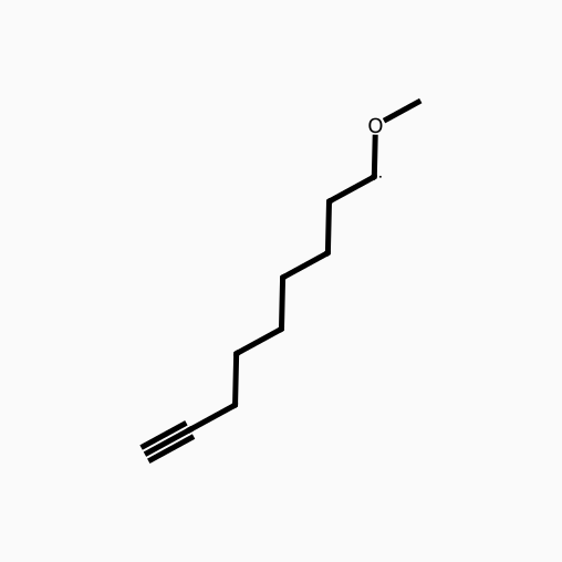 C#CCCCCCC[CH]OC